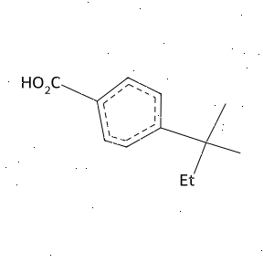 CCC(C)(C)c1ccc(C(=O)O)cc1